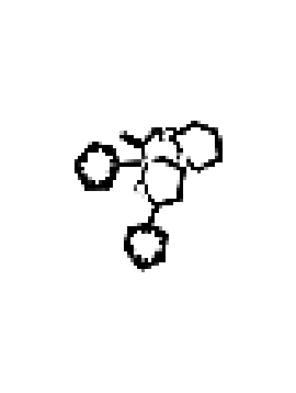 C=C(C[SiH]1CCCCO1)[Si]1(c2ccccc2)CCCC(c2ccccc2)O1